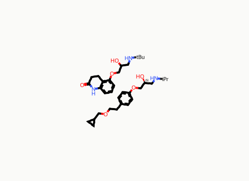 CC(C)(C)NCC(O)COc1cccc2c1CCC(=O)N2.CC(C)NC[C@H](O)COc1ccc(CCOCC2CC2)cc1